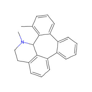 Cc1cccc2c1C1c3c(cccc3-c3ccccc3-2)CCN1C